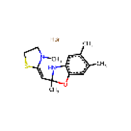 Br.Cc1cc2c(cc1C)OC(C)(C=C1SCCN1C)N2